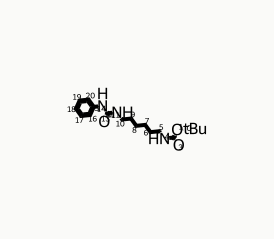 CC(C)(C)OC(=O)NCCCCCCNC(=O)Nc1ccccc1